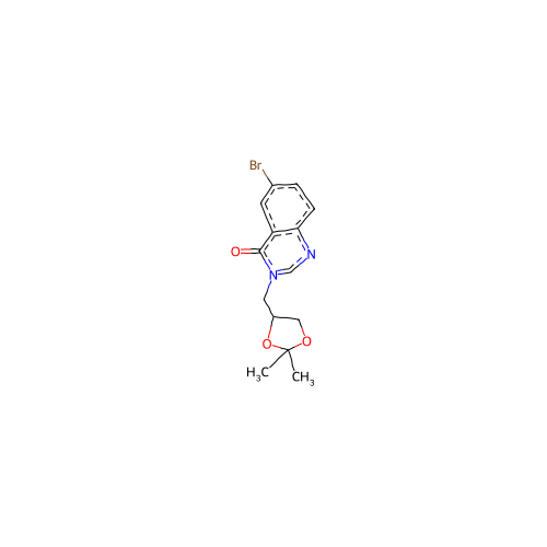 CC1(C)OCC(Cn2cnc3ccc(Br)cc3c2=O)O1